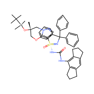 CC(C)(C)[Si](C)(C)O[C@@]1(C)COc2c([S@](=O)(=NC(c3ccccc3)(c3ccccc3)c3ccccc3)NC(=O)Nc3c4c(cc5c3CCC5)CCC4)cnn2C1